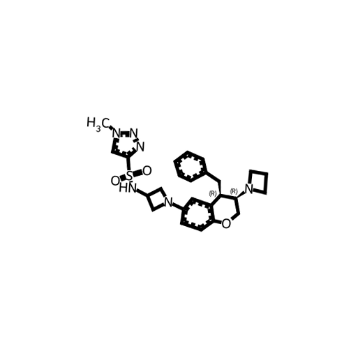 Cn1cc(S(=O)(=O)NC2CN(c3ccc4c(c3)[C@@H](Cc3ccccc3)[C@@H](N3CCC3)CO4)C2)nn1